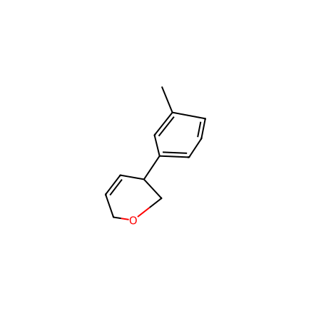 Cc1cccc(C2C=CCOC2)c1